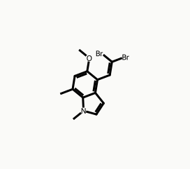 COc1cc(C)c2c(ccn2C)c1C=C(Br)Br